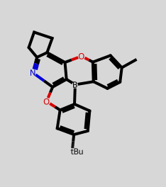 Cc1ccc2c(c1)Oc1c3c(nc4c1B2c1ccc(C(C)(C)C)cc1O4)CCC3